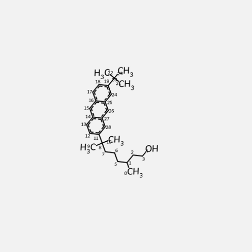 CC(CCO)CCCC(C)(C)c1ccc2cc3ccc(C(C)(C)C)cc3cc2c1